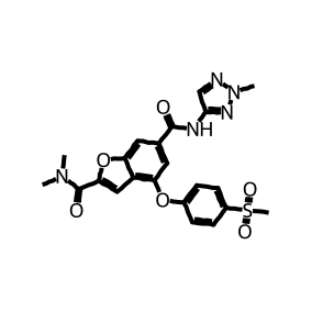 CN(C)C(=O)c1cc2c(Oc3ccc(S(C)(=O)=O)cc3)cc(C(=O)Nc3cnn(C)n3)cc2o1